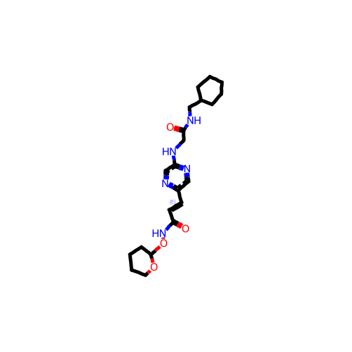 O=C(/C=C/c1cnc(NCC(=O)NCC2CCCCC2)cn1)NOC1CCCCO1